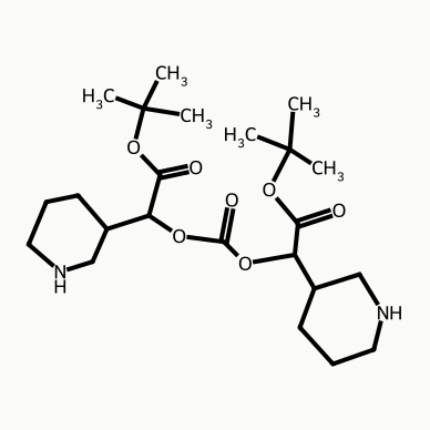 CC(C)(C)OC(=O)C(OC(=O)OC(C(=O)OC(C)(C)C)C1CCCNC1)C1CCCNC1